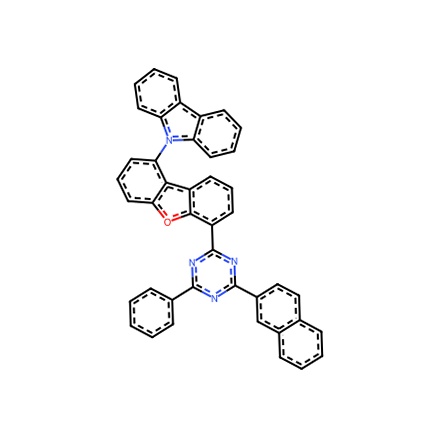 c1ccc(-c2nc(-c3ccc4ccccc4c3)nc(-c3cccc4c3oc3cccc(-n5c6ccccc6c6ccccc65)c34)n2)cc1